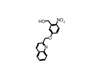 O=[N+]([O-])c1ccc(OCc2ccc3ccccc3n2)cc1CO